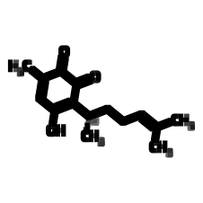 CC(C)=CCC[C@H](C)C1=C(O)C=C(C)C(=O)C1=O